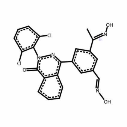 C/C(=N\O)c1cc(C=NO)cc(-c2nn(-c3c(Cl)cccc3Cl)c(=O)c3ccccc23)c1